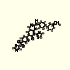 CN1CCCC(c2ccc(Nc3ncc4cc(-c5ccc(S(=O)(=O)c6cncs6)cn5)c(=O)n(-c5nccs5)c4n3)cc2)C1